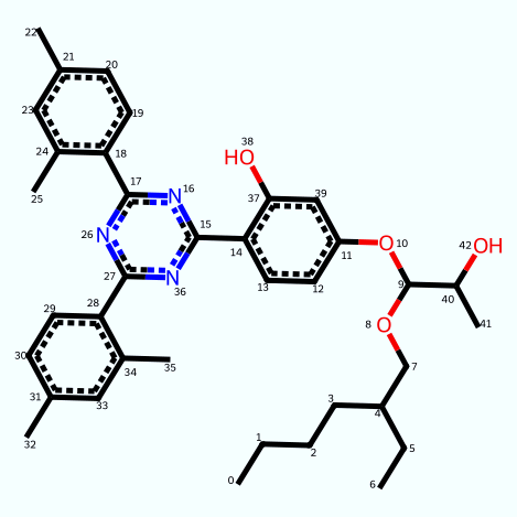 CCCCC(CC)COC(Oc1ccc(-c2nc(-c3ccc(C)cc3C)nc(-c3ccc(C)cc3C)n2)c(O)c1)C(C)O